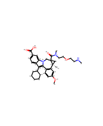 CNCCOCCN(C)C(=O)C12C[C@H]1c1cc(OC)ccc1-c1c(C3CCCCC3)c3ccc(C(=O)O)cc3n1C2